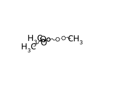 CCCCCCC(C)OC(=O)c1ccc(CCC2CCC([C@H]3CC[C@H](CCC)CC3)CC2)cc1